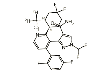 [2H]C([2H])([2H])[C@@H]1CC(F)(F)CC[C@H]1c1nccc(-c2cc(F)ccc2F)c1-c1nn(C(F)F)cc1C(N)=O